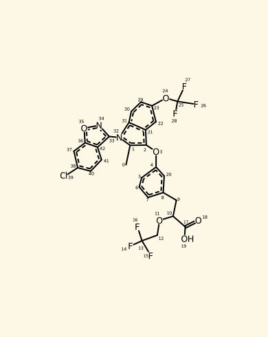 Cc1c(Oc2cccc(CC(OCC(F)(F)F)C(=O)O)c2)c2cc(OC(F)(F)F)ccc2n1-c1noc2cc(Cl)ccc12